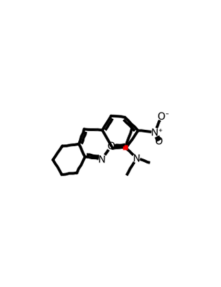 CC(O/N=C1/CCCC/C1=C/c1ccc([N+](=O)[O-])cc1)N(C)C